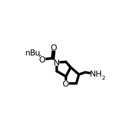 CCCCOC(=O)N1CC2OCC(CN)C2C1